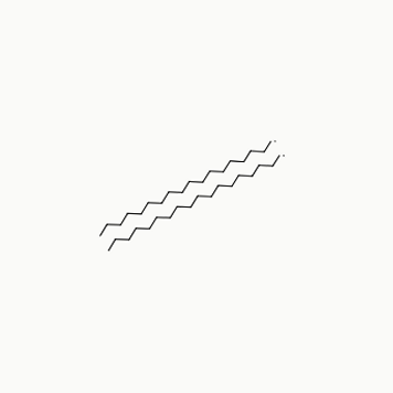 [CH2]CCCCCCCCCCCCCCCCC.[CH2]CCCCCCCCCCCCCCCCC